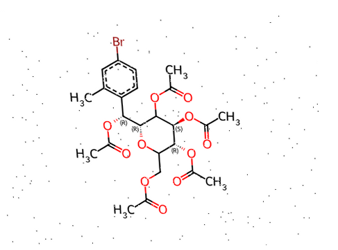 CC(=O)OCC1O[C@H]([C@H](OC(C)=O)c2ccc(Br)cc2C)C(OC(C)=O)[C@@H](OC(C)=O)[C@@H]1OC(C)=O